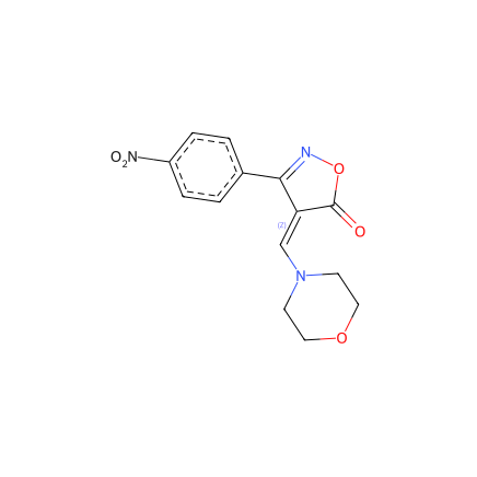 O=C1ON=C(c2ccc([N+](=O)[O-])cc2)/C1=C/N1CCOCC1